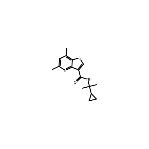 Cc1cc(C)c2scc(C(=O)NC(C)(C)C3CC3)c2n1